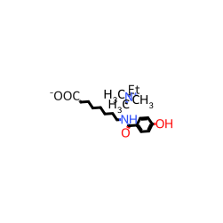 CC[N+](C)(C)C.O=C([O-])CCCCCCCNC(=O)c1ccc(O)cc1